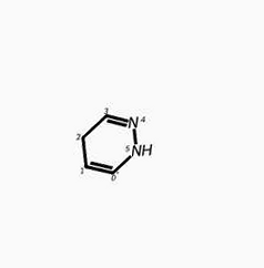 [C]1=CCC=NN1